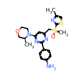 C=S(=O)(Cc1cc(N2CCOC[C@@H]2C)nc(-c2ccc(N)cc2)n1)c1nc(C)cs1